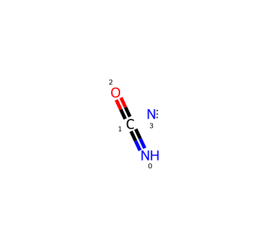 N=C=O.[N]